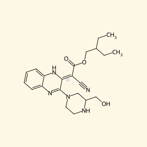 CCC(CC)COC(=O)/C(C#N)=C1\Nc2ccccc2N=C1N1CCNC(CO)C1